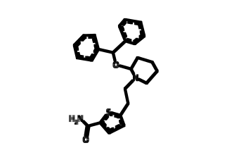 NC(=O)c1ccc(CCN2CCCCC2OC(c2ccccc2)c2ccccc2)s1